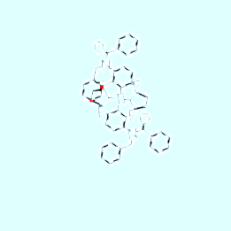 O=C(c1ccccc1)N(Cc1ccccc1)c1ccc(F)[c]([Ti]([c]2c(F)ccc(N(Cc3ccccc3)C(=O)c3ccccc3)c2F)([CH]2C=CC=C2)[CH]2C=CC=C2)c1F